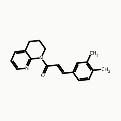 Cc1ccc(/C=C/C(=O)N2CCCc3cccnc32)cc1C